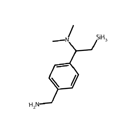 CN(C)C(C[SiH3])c1ccc(CN)cc1